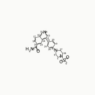 CS(=O)(=O)N1CCN(c2ccc(-c3cncc4ccc(C(N)=O)cc34)cc2)CC1